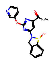 CNC(=O)c1cc(N2Cc3ccccc3[S+]2[O-])nc(Oc2cccnc2)n1